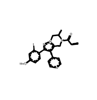 C=CC(=O)N1Cc2c(-c3ccncc3)c(-c3ccc(OC)cc3F)nn2CC1C